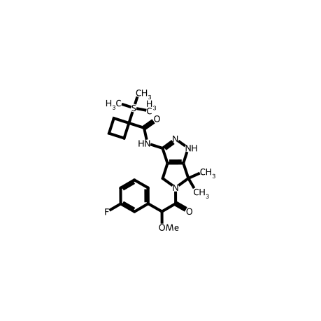 COC(C(=O)N1Cc2c(NC(=O)C3(S(C)(C)C)CCC3)n[nH]c2C1(C)C)c1cccc(F)c1